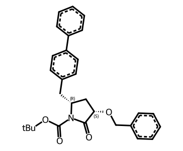 CC(C)(C)OC(=O)N1C(=O)[C@@H](OCc2ccccc2)C[C@H]1Cc1ccc(-c2ccccc2)cc1